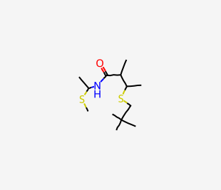 CSC(C)NC(=O)C(C)C(C)SCC(C)(C)C